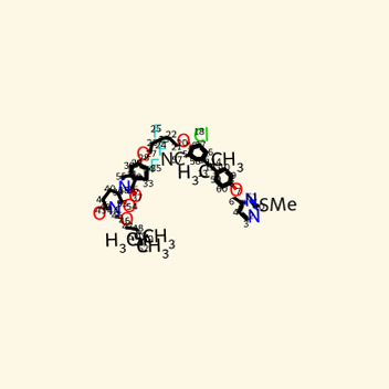 CSc1nccc(COc2ccc(C(C)(C)c3cc(Cl)c(OCCC(F)(F)CCOc4cc5c(cc4F)C(=O)N(C4CCC(=O)N(COCC[Si](C)(C)C)C4=O)C5)c(C#N)c3)cc2)n1